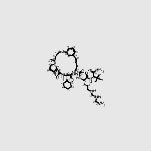 CC(C)(C)[C@H](NC(=O)[C@H](CCCNCNCN)NC(=O)[C@@H]1C/C=C/c2cccc(c2)OCCCC(=O)N2CCC[C@H]2C(=O)N[C@@H](C2CCCCC2)C(=O)N1)C(N)=O